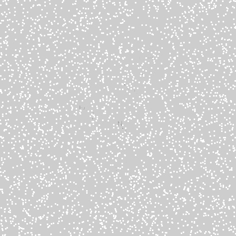 CCCCCC(C)(C)c1ccc2oc(-c3ccc(N4N=C(C=Cc5ccc(C(C)(C)C)cc5)CC4c4ccc(C(C)(C)C)cc4)cc3)nc2c1